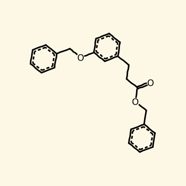 O=C(CCc1cccc(OCc2ccccc2)c1)OCc1ccccc1